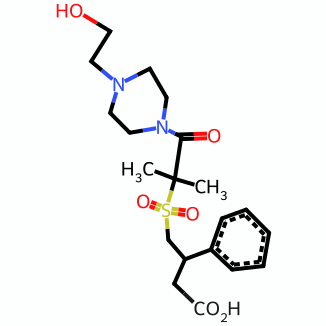 CC(C)(C(=O)N1CCN(CCO)CC1)S(=O)(=O)CC(CC(=O)O)c1ccccc1